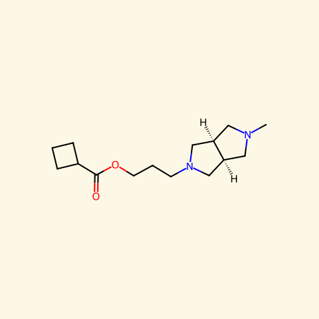 CN1C[C@@H]2CN(CCCOC(=O)C3CCC3)C[C@@H]2C1